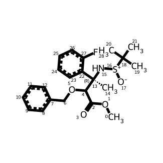 COC(=O)C(OCc1ccccc1)[C@](C)(N[S+]([O-])C(C)(C)C)c1ccccc1F